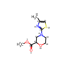 COC(=O)C1CN(c2nc(C)cs2)CCO1